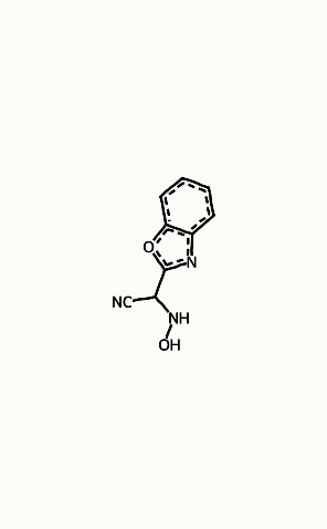 N#CC(NO)c1nc2ccccc2o1